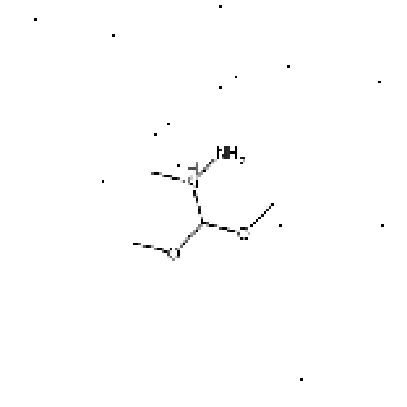 COC(OC)[SiH](C)N